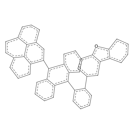 c1ccc(-c2c3ccccc3c(-c3cc4cccc5ccc6cccc3c6c54)c3ccccc23)c(-c2ccc3oc4ccccc4c3c2)c1